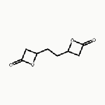 O=C1CC(CCC2CC(=O)O2)O1